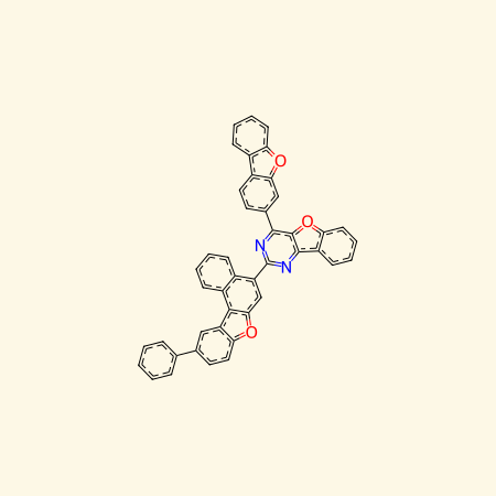 c1ccc(-c2ccc3oc4cc(-c5nc(-c6ccc7c(c6)oc6ccccc67)c6oc7ccccc7c6n5)c5ccccc5c4c3c2)cc1